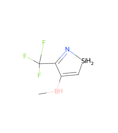 CBC1=C[SiH2]N=C1C(F)(F)F